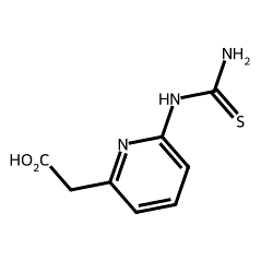 NC(=S)Nc1cccc(CC(=O)O)n1